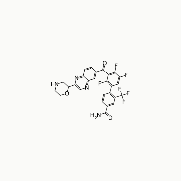 NC(=O)c1ccc(-c2cc(F)c(F)c(C(=O)c3ccc4nc(C5CNCCO5)cnc4c3)c2F)c(C(F)(F)F)c1